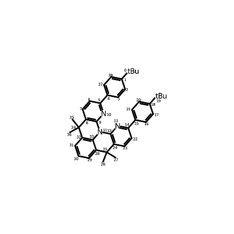 CC(C)(C)c1ccc(-c2ccc3c(n2)N2c4nc(-c5ccc(C(C)(C)C)cc5)ccc4C(C)(C)c4cccc(c42)C3(C)C)cc1